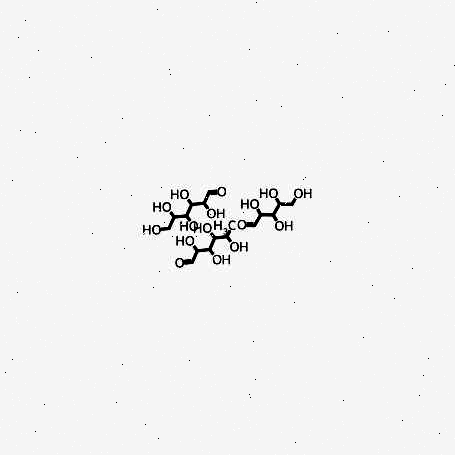 CC(O)C(O)C(O)C(O)C=O.O=CC(O)C(O)C(O)C(O)CO.O=CC(O)C(O)C(O)CO